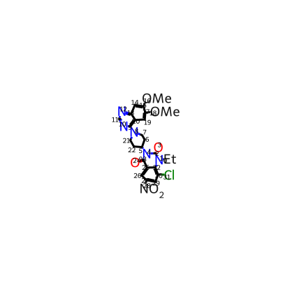 CCn1c(=O)n(C2CCN(c3ncnc4cc(OC)c(OC)cc34)CC2)c(=O)c2cc([N+](=O)[O-])cc(Cl)c21